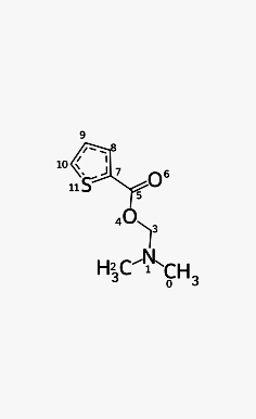 CN(C)COC(=O)c1cccs1